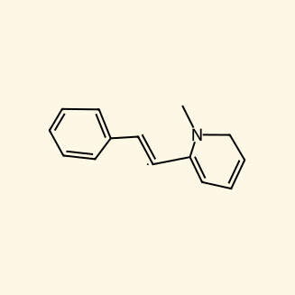 CN1CC=CC=C1/[C]=C/c1ccccc1